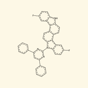 Fc1ccc2[nH]c3ccc4c(ccc5c4c4cc(F)ccc4n5-c4nc(-c5ccccc5)cc(-c5ccccc5)n4)c3c2c1